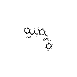 COc1ccccc1OC(=O)Nc1cc(NC(=O)Nc2ccccc2)ccc1C